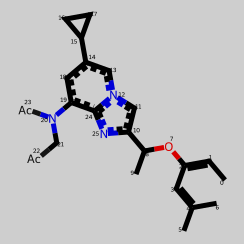 C/C=C(\C=C(C)C)OC(C)c1cn2cc(C3CC3)cc(N(CC(C)=O)C(C)=O)c2n1